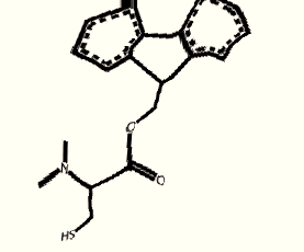 CN(C)C(CS)C(=O)OCC1c2ccccc2-c2ccccc21